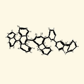 c1cc(-c2ccc3oc4ccccc4c3c2)cc(-c2ccc(-c3c4ccccc4c(-c4cccc5ccccc45)c4ccccc34)c3oc4ccccc4c23)c1